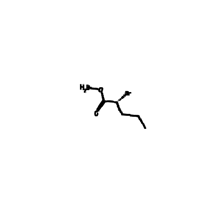 BOC(=O)[C@H](Br)CCC